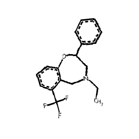 CCN1Cc2c(cccc2C(F)(F)F)OC(c2ccccc2)C1